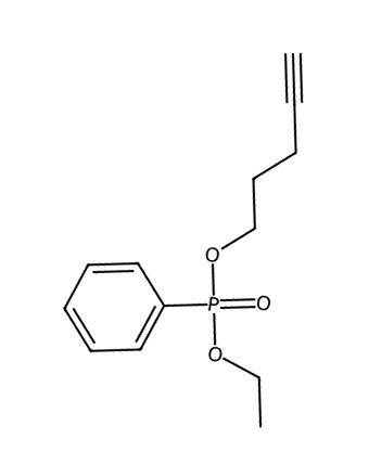 C#CCCCOP(=O)(OCC)c1ccccc1